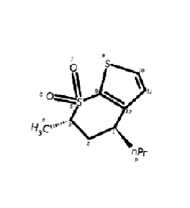 CCC[C@H]1C[C@H](C)S(=O)(=O)c2sccc21